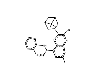 Cc1cc([C@@H](C)Nc2ccccc2C(=O)O)c2nc(N3CC4CC(C3)C4(F)F)c(C#N)nc2c1